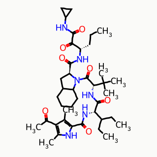 CCC[C@H](NC(=O)[C@@H]1CC2CCCCC2N1C(=O)[C@@H](NC(=O)[C@@H](NC(=O)c1[nH]c(C)c(C(C)=O)c1C)C(CC)CC)C(C)(C)C)C(=O)C(=O)NC1CC1